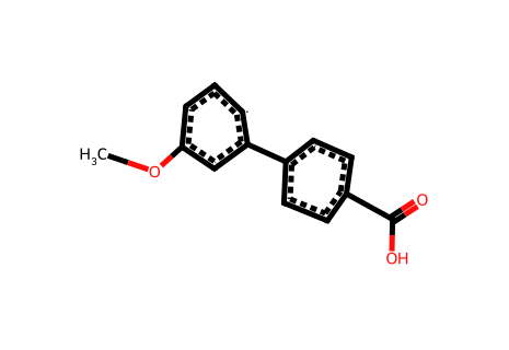 COc1cc[c]c(-c2ccc(C(=O)O)cc2)c1